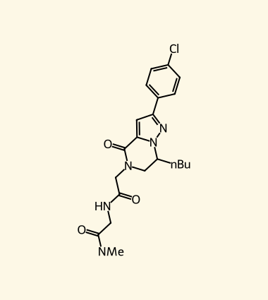 CCCCC1CN(CC(=O)NCC(=O)NC)C(=O)c2cc(-c3ccc(Cl)cc3)nn21